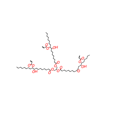 C=CC(=O)OC(CCCCCCCC)C(O)CCCCCCCC(=O)OCC(COC(=O)CCCCCCCC(O)C(CCCCCCCC)OC(=O)C=C)OC(=O)CCCCCCCC1OC1CC(O)C(CCCCC)OC(=O)C=C